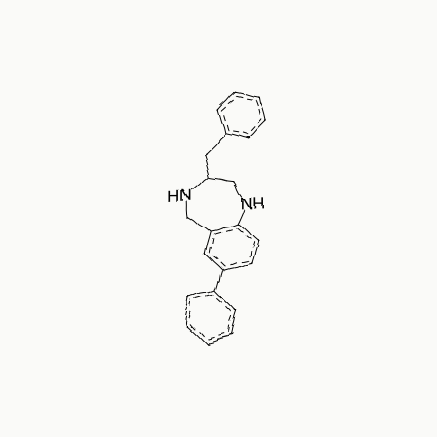 c1ccc(CC2CNc3ccc(-c4ccccc4)cc3CN2)cc1